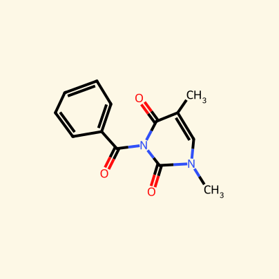 Cc1cn(C)c(=O)n(C(=O)c2ccccc2)c1=O